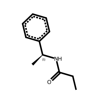 CCC(=O)N[C@@H](C)c1ccccc1